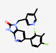 Cc1cncc(Cn2c(=O)[nH]c3ncc(-c4ccc(F)c(C)c4F)cc32)c1